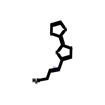 NC/C=C/C1=CSC(=C2SC=CS2)S1